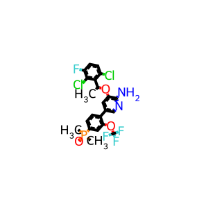 CC(Oc1cc(-c2ccc(P(C)(C)=O)cc2OC(F)(F)F)cnc1N)c1c(Cl)ccc(F)c1Cl